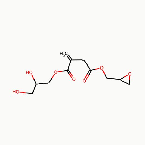 C=C(CC(=O)OCC1CO1)C(=O)OCC(O)CO